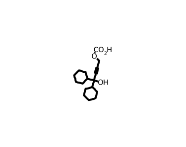 O=C(O)OCC#CC(O)(C1CCCCC1)C1CCCCC1